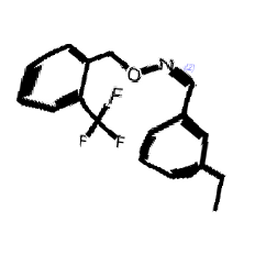 CCc1cccc(/[C]=N\OCc2ccccc2C(F)(F)F)c1